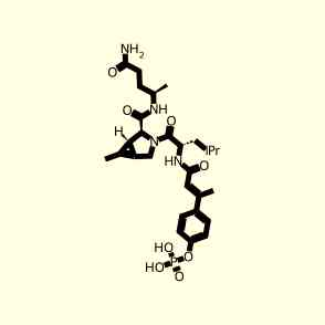 CC1=C2CN(C(=O)[C@H](CC(C)C)NC(=O)/C=C(\C)c3ccc(OP(=O)(O)O)cc3)[C@H](C(=O)N[C@H](C)CCC(N)=O)[C@H]12